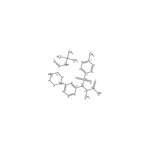 CC(C)(C)NC(=O)[C@@H]1CNCCN1.Cc1ccc(S(=O)(=O)N(c2ccccc2)C(C)C(=O)O)cc1